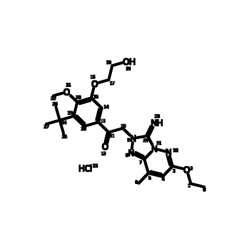 CCOc1cc(C)c2nn(CC(=O)c3cc(OCCO)c(OC)c(C(C)(C)C)c3)c(=N)n2n1.Cl